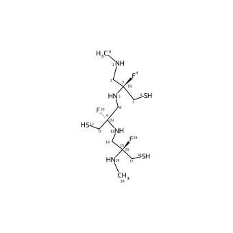 CNC[C@](F)(CS)NC[C@](F)(CS)NC[C@](F)(CS)NC